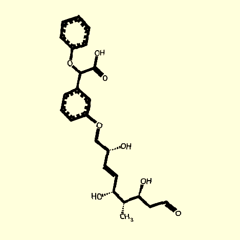 C[C@H]([C@H](O)/C=C/[C@@H](O)COc1cccc(C(Oc2ccccc2)C(=O)O)c1)[C@@H](O)CC=O